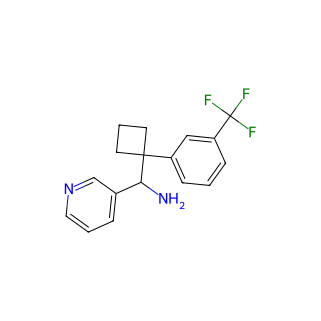 NC(c1cccnc1)C1(c2cccc(C(F)(F)F)c2)CCC1